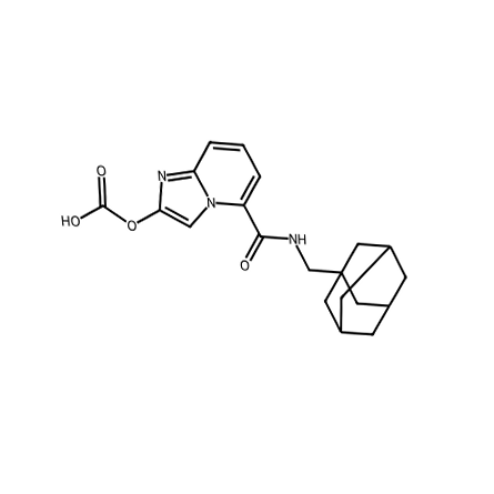 O=C(O)Oc1cn2c(C(=O)NCC34CC5CC(CC(C5)C3)C4)cccc2n1